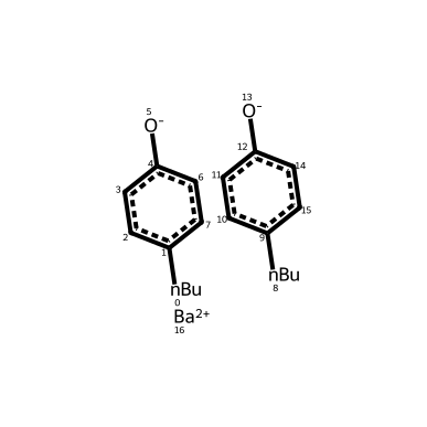 CCCCc1ccc([O-])cc1.CCCCc1ccc([O-])cc1.[Ba+2]